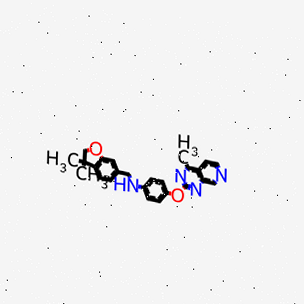 Cc1nc(Oc2ccc(NCc3ccc4c(c3)OCC4(C)C)cc2)nc2cnccc12